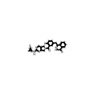 O=C(c1cc(Cc2n[nH]c(=O)c3ccccc23)ccc1F)N1Cc2cnc(N[C@@H]3C[C@H]3F)nc2C1